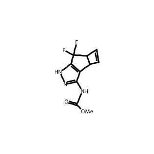 COC(=O)Nc1n[nH]c2c1C1C=CC1C2(F)F